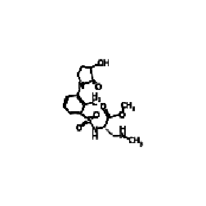 CNC[C@H](NS(=O)(=O)c1cccc(N2CCC(O)C2=O)c1C)C(=O)OC